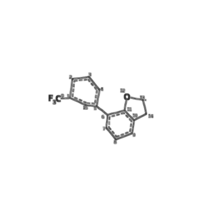 FC(F)(F)c1cccc(-c2cccc3c2O[CH]C3)c1